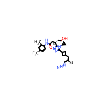 CCC(CN=[N+]=[N-])CC1CC(c2nnc([C@@H](CCO)CC(=O)Nc3ccc(C(F)(F)F)cc3C)n2C2CC2)C1